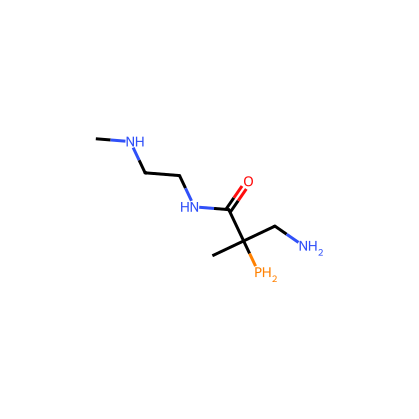 CNCCNC(=O)C(C)(P)CN